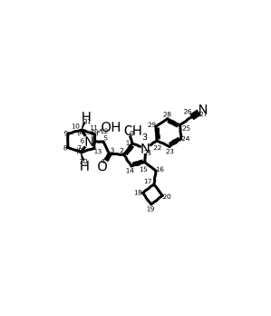 Cc1c(C(=O)CN2[C@H]3CC[C@@H]2[C@H](O)C3)cc(CC2CCC2)n1-c1ccc(C#N)cc1